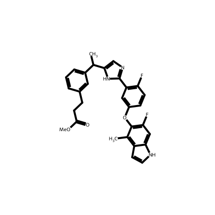 COC(=O)CCc1cccc(C(C)c2cnc(-c3cc(Oc4c(F)cc5[nH]ccc5c4C)ccc3F)[nH]2)c1